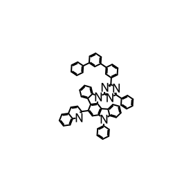 c1ccc(-c2cccc(-c3cccc(-c4nc(-c5ccccc5)nc(-n5c6ccccc6c6c(-c7ccc8ccccc8n7)cc7c(c8ccccc8n7-c7ccccc7)c65)n4)c3)c2)cc1